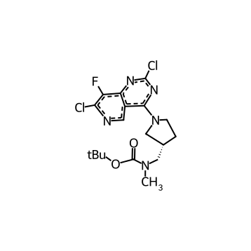 CN(C[C@H]1CCN(c2nc(Cl)nc3c(F)c(Cl)ncc23)C1)C(=O)OC(C)(C)C